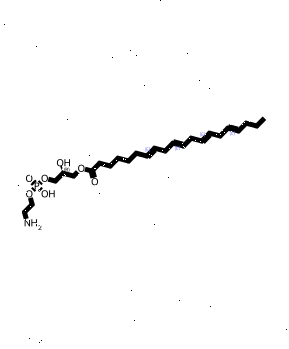 CCC/C=C/C/C=C/C/C=C/C/C=C/CCCCCC(=O)OC[C@@H](O)COP(=O)(O)OCCN